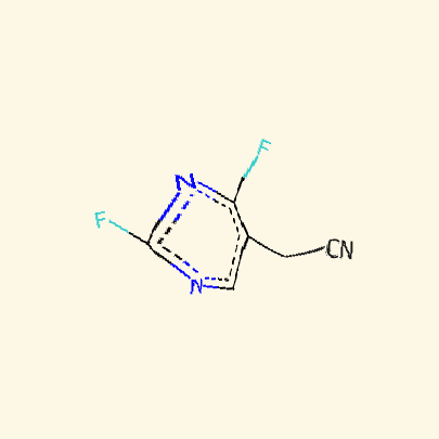 N#Cc1cnc(F)nc1F